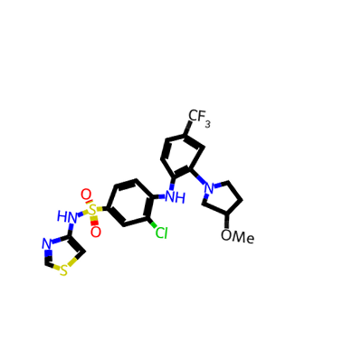 COC1CCN(c2cc(C(F)(F)F)ccc2Nc2ccc(S(=O)(=O)Nc3cscn3)cc2Cl)C1